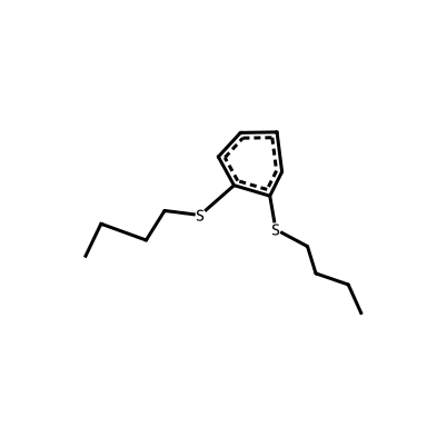 CCCCSc1ccccc1SCCCC